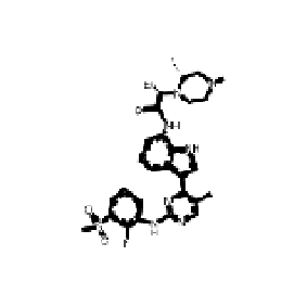 CC[C@@H](C(=O)Nc1cccc2c(-c3nc(Nc4cccc(S(C)(=O)=O)c4F)ncc3C)c[nH]c12)N1CCN(C)C[C@H]1C